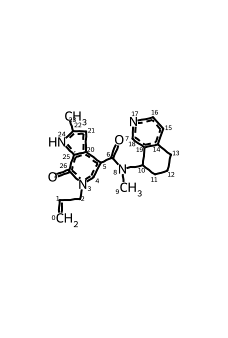 C=CCn1cc(C(=O)N(C)C2CCCc3ccncc32)c2cc(C)[nH]c2c1=O